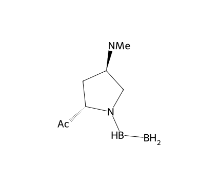 BBN1C[C@H](NC)C[C@H]1C(C)=O